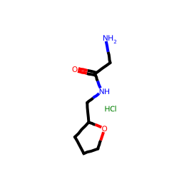 Cl.NCC(=O)NCC1CCCO1